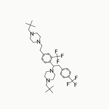 CC(C)(C)CN1CCN(CCc2ccc(C(Cc3ccc(C(F)(F)F)cc3)N3CCN(CC(C)(C)C)CC3)c(C(F)(F)F)c2)CC1